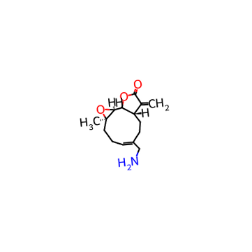 C=C1C(=O)O[C@H]2[C@H]1CC/C(CN)=C\CC[C@@]1(C)O[C@@H]21